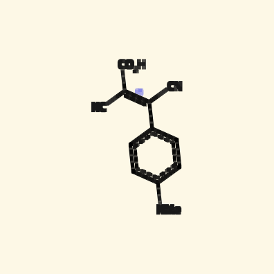 CNc1ccc(/C(C#N)=C(\C#N)C(=O)O)cc1